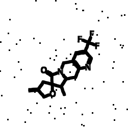 C=C1COC2(C1)C(=O)N1Cc3cc(C(F)(F)F)cnc3CC1C2C